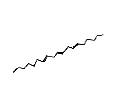 [CH2]CCCCCC=CCC=CCC=CCCCCC